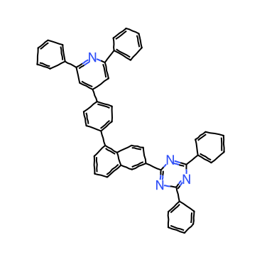 c1ccc(-c2cc(-c3ccc(-c4cccc5cc(-c6nc(-c7ccccc7)nc(-c7ccccc7)n6)ccc45)cc3)cc(-c3ccccc3)n2)cc1